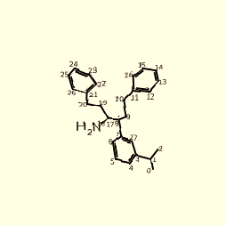 CC(C)c1cccc([C](CCc2ccccc2)[C@@H](N)CCc2ccccc2)c1